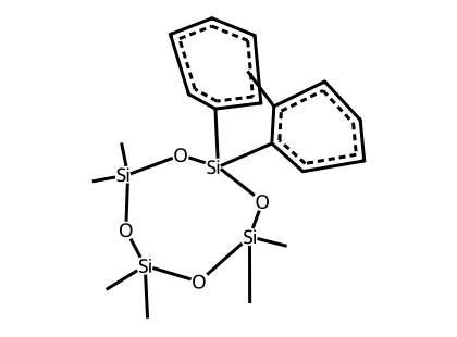 Cc1ccccc1[Si]1(c2ccccc2)O[Si](C)(C)O[Si](C)(C)O[Si](C)(C)O1